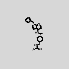 N=C(N)NC[C@H]1CC[C@H](C(=O)Nc2ccnc3c2ccn3Cc2ccccc2)CC1